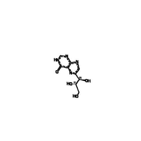 O=c1[nH]cnc2ncc([C@@H](O)[C@@H](O)CO)nc12